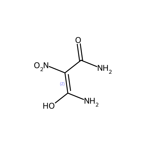 NC(=O)/C(=C(\N)O)[N+](=O)[O-]